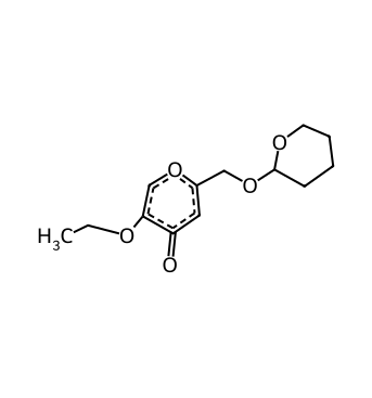 CCOc1coc(COC2CCCCO2)cc1=O